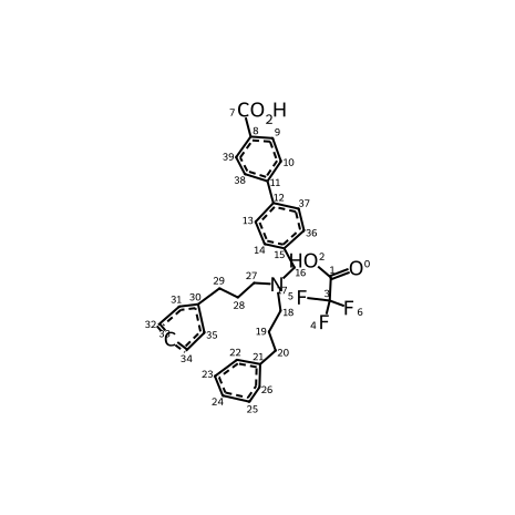 O=C(O)C(F)(F)F.O=C(O)c1ccc(-c2ccc(CN(CCCc3ccccc3)CCCc3ccccc3)cc2)cc1